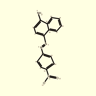 Nc1ccc(/N=N/c2ccc([N+](=O)[O-])cc2)c2ccccc12